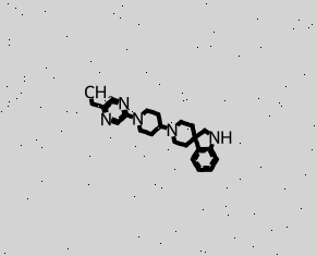 CCc1cnc(N2CCC(N3CCC4(CC3)CNc3ccccc34)CC2)cn1